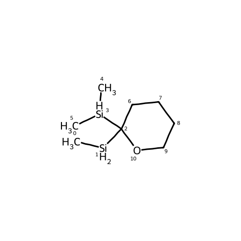 C[SiH2]C1([SiH](C)C)CCCCO1